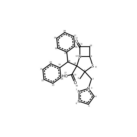 CC1(Cn2ccnn2)SC2CC(=O)N2C1(C(=O)O)C(c1ccccc1)c1ccccc1